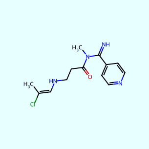 C/C(Cl)=C\NCCC(=O)N(C)C(=N)c1ccncc1